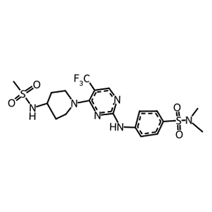 CN(C)S(=O)(=O)c1ccc(Nc2ncc(C(F)(F)F)c(N3CCC(NS(C)(=O)=O)CC3)n2)cc1